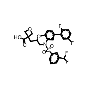 O=C(O)C1(CC2CN(S(=O)(=O)c3cccc(C(F)F)c3)c3cc(-c4cc(F)ccc4F)ccc3O2)COC1